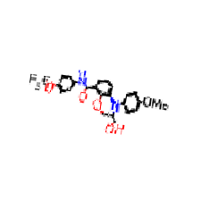 COc1ccc(N2c3cccc(C(=O)Nc4ccc(OC(F)(F)F)cc4)c3OCC2CO)cc1